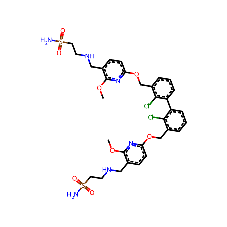 COc1nc(OCc2cccc(-c3cccc(COc4ccc(CNCCS(N)(=O)=O)c(OC)n4)c3Cl)c2Cl)ccc1CNCCS(N)(=O)=O